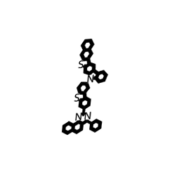 c1ccc(-c2nc(-c3ccc4c(c3)sc3ccc(-n5c6ccccc6c6cc7c(cc65)sc5cc6ccccc6cc57)cc34)nc3c2ccc2ccccc23)cc1